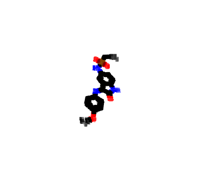 CCS(=O)(=O)Nc1ccc2c(c1)/C(=N/c1ccc(OC)cc1)C(=O)N2